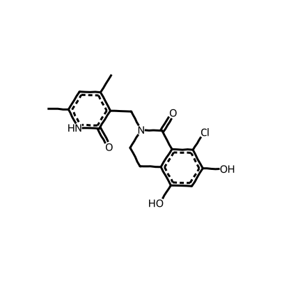 Cc1cc(C)c(CN2CCc3c(O)cc(O)c(Cl)c3C2=O)c(=O)[nH]1